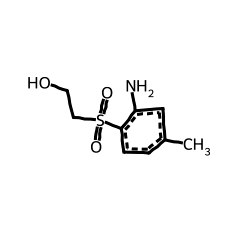 Cc1ccc(S(=O)(=O)CCO)c(N)c1